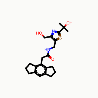 CC(C)(O)c1nc(CO)c(CNC(=O)Cc2c3c(cc4c2CCC4)CCC3)s1